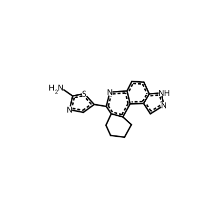 Nc1ncc(-c2nc3ccc4[nH]ncc4c3c3c2CCCC3)s1